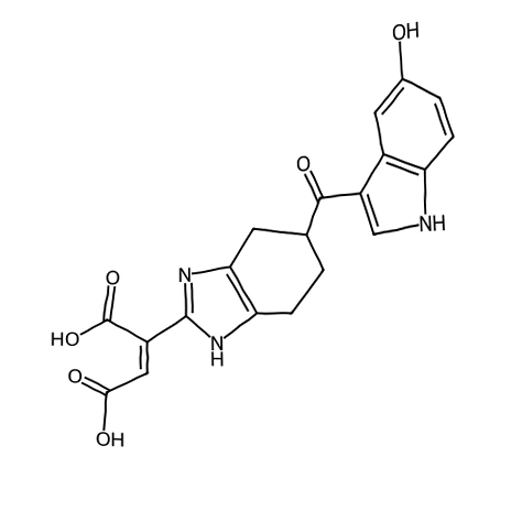 O=C(O)/C=C(\C(=O)O)c1nc2c([nH]1)CCC(C(=O)c1c[nH]c3ccc(O)cc13)C2